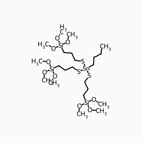 CCC[CH2][Sn]([S]CCC[Si](OC)(OC)OC)([S]CCC[Si](OC)(OC)OC)[S]CCC[Si](OC)(OC)OC